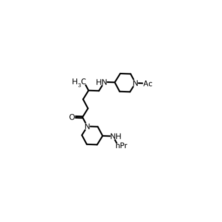 CCCNC1CCCN(C(=O)CCC(C)CNC2CCN(C(C)=O)CC2)C1